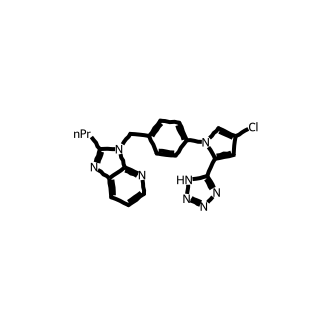 CCCc1nc2cccnc2n1Cc1ccc(-n2cc(Cl)cc2-c2nnn[nH]2)cc1